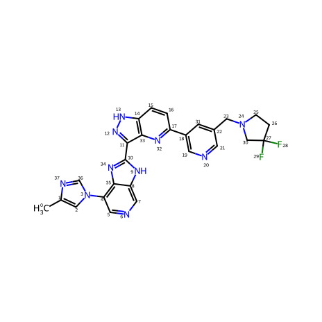 Cc1cn(-c2cncc3[nH]c(-c4n[nH]c5ccc(-c6cncc(CN7CCC(F)(F)C7)c6)nc45)nc23)cn1